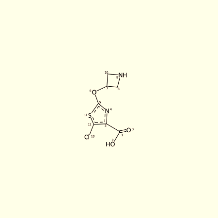 O=C(O)c1nc(OC2CNC2)sc1Cl